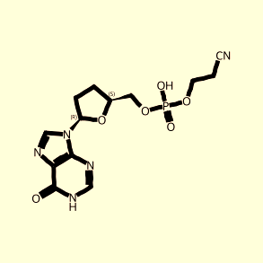 N#CCCOP(=O)(O)OC[C@@H]1CC[C@H](n2cnc3c(=O)[nH]cnc32)O1